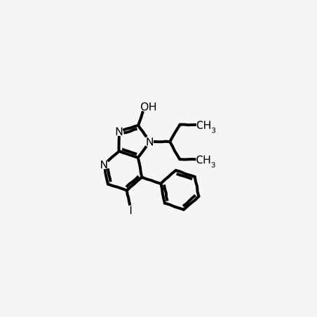 CCC(CC)n1c(O)nc2ncc(I)c(-c3ccccc3)c21